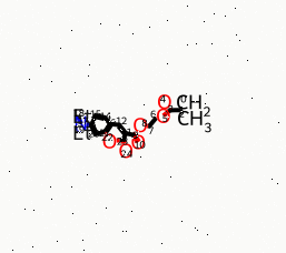 C=C(C)C(=O)OCCOC(=O)c1cc2ccc(N(CC)CC)cc2oc1=O